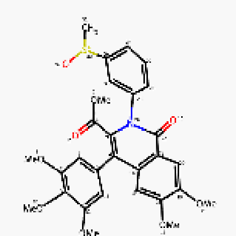 COC(=O)c1c(-c2cc(OC)c(OC)c(OC)c2)c2cc(OC)c(OC)cc2c(=O)n1-c1cccc([S+](C)[O-])c1